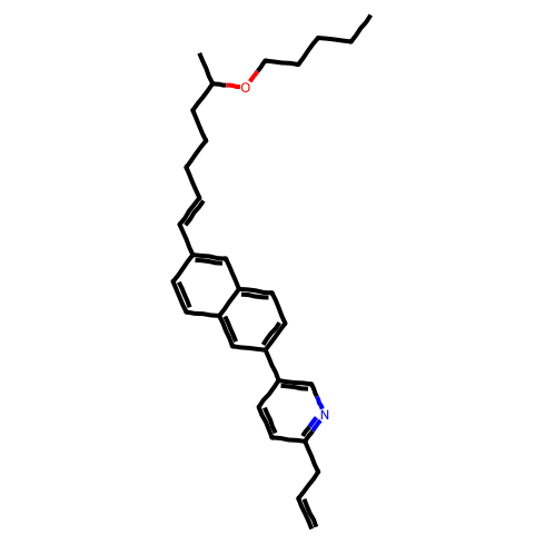 C=CCc1ccc(-c2ccc3cc(C=CCCCC(C)OCCCCC)ccc3c2)cn1